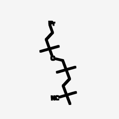 CC(C)CCC(C)(C)OCC(C)(C)CCC(C)(C)C#N